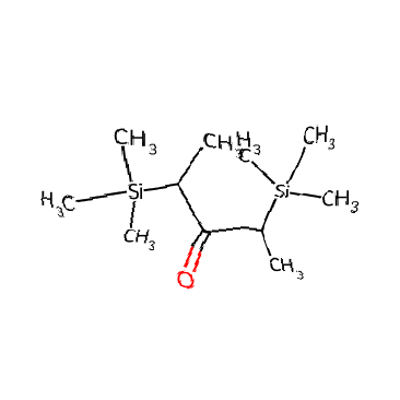 CC(C(=O)C(C)[Si](C)(C)C)[Si](C)(C)C